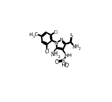 Cc1cc(Cl)c(-n2nc(C(N)=S)c(N[SH](=O)=O)c2N)c(Cl)c1